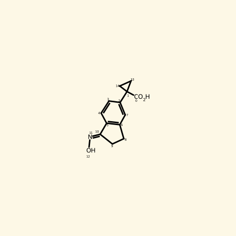 O=C(O)C1(c2ccc3c(c2)CCC3=NO)CC1